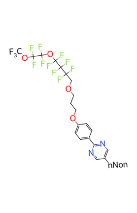 CCCCCCCCCc1cnc(-c2ccc(OCCCOCC(F)(F)C(F)(F)C(F)(F)OC(F)(F)C(F)(F)OC(F)(F)F)cc2)nc1